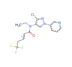 CCN(C(=O)/C=C/CC(F)(F)F)c1cn(-c2cccnc2)nc1Cl